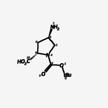 CC(C)(C)OC(=O)N1C[C@H](N)C[C@H]1C(=O)O